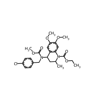 CCOC(=O)N1c2cc(OC)c(OC)cc2C(N(Cc2ccc(Cl)cc2)C(=O)OC)CC1C